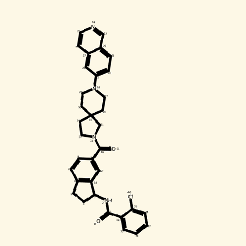 O=C(NC1CCc2ccc(C(=O)N3CCC4(CCN(c5ccc6cnccc6c5)CC4)C3)cc21)c1ccccc1Cl